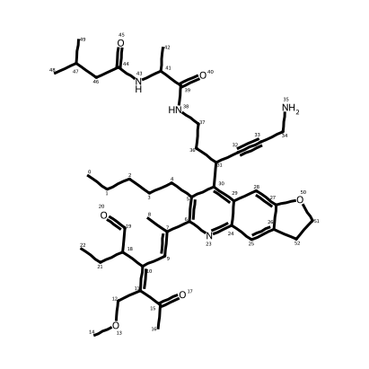 CCCCCc1c(/C(C)=C/C(=C(/COC)C(C)=O)C(C=O)CC)nc2cc3c(cc2c1C(C#CCN)CCNC(=O)C(C)NC(=O)CC(C)C)OCC3